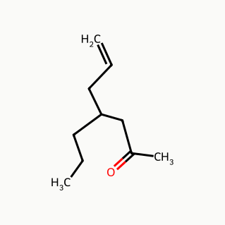 C=CCC(CCC)CC(C)=O